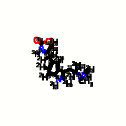 [2H]c1c(C([2H])([2H])[C@@H]2N([2H])C(=O)OC2([2H])[2H])c([2H])c2c(CC([2H])([2H])N(C)C([2H])([2H])[2H])c([2H])n([2H])c2c1[2H]